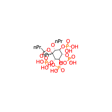 CCCO[C@@H]1[C@@H](OP(=O)(O)O)[C@H](OP(=O)(O)O)[C@@H](OP(=O)(O)O)[C@H](OP(=O)(O)O)[C@]1(CCC)OC(=O)CCC